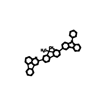 CC1(C)c2cc(-c3ccc4c(c3)c3ccccc3n4-c3ccccc3)ccc2-c2ccc(-c3cc4c5c(cccc5n3)-c3ccccc3-4)cc21